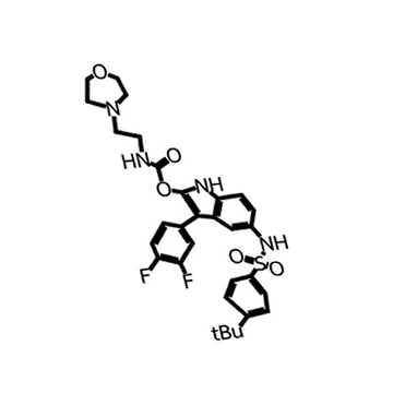 CC(C)(C)c1ccc(S(=O)(=O)Nc2ccc3[nH]c(OC(=O)NCCN4CCOCC4)c(-c4ccc(F)c(F)c4)c3c2)cc1